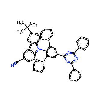 CC(C)(C)c1ccc2c(c1)c1cc(C#N)ccc1n2-c1c(-c2ccccc2)cc(-c2nc(-c3ccccc3)nc(-c3ccccc3)n2)cc1-c1ccccc1